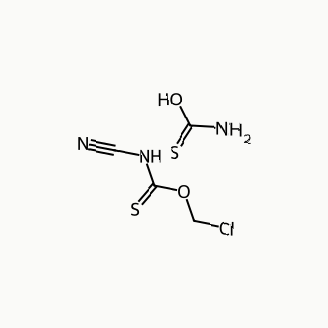 N#CNC(=S)OCCl.NC(O)=S